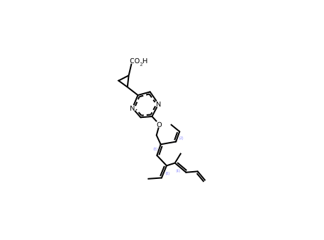 C=C/C=C(C)/C(/C=C(\C=C/C)COc1cnc(C2CC2C(=O)O)cn1)=C/C